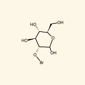 OC[C@H]1OC(O)[C@H](OBr)[C@@H](O)[C@@H]1O